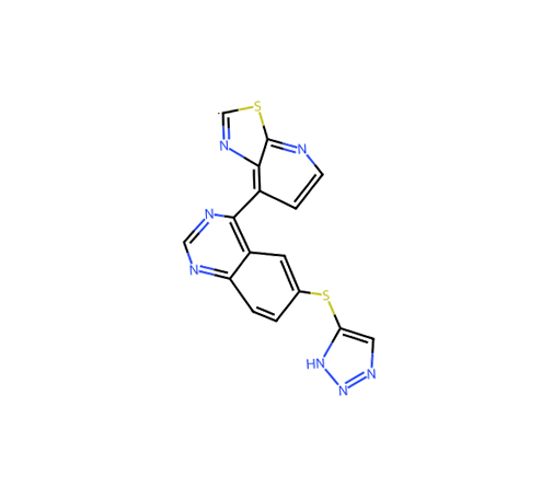 [c]1nc2c(-c3ncnc4ccc(Sc5cnn[nH]5)cc34)ccnc2s1